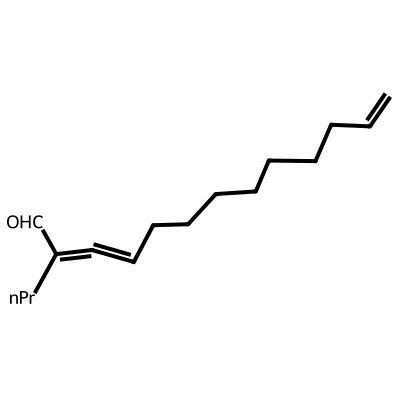 C=CCCCCCCCC=C=C(C=O)CCC